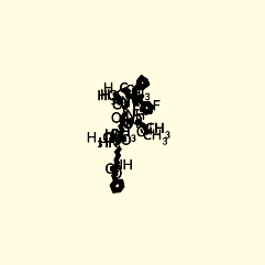 CC(=O)N[C@@H](CCCCNC(=O)OCc1ccccc1)C(=O)NCCNC(=O)[C@H](CCN(C(=O)CO)[C@@H](c1cc(-c2cc(F)ccc2F)cn1Cc1ccccc1)C(C)(C)C)NC(=O)OCC[Si](C)(C)C